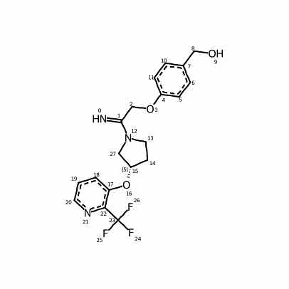 N=C(COc1ccc(CO)cc1)N1CC[C@H](Oc2cccnc2C(F)(F)F)C1